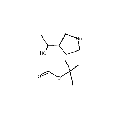 CC(C)(C)OC=O.CC(O)[C@H]1CCNC1